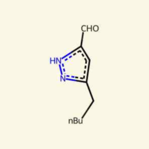 CCCCCc1cc(C=O)[nH]n1